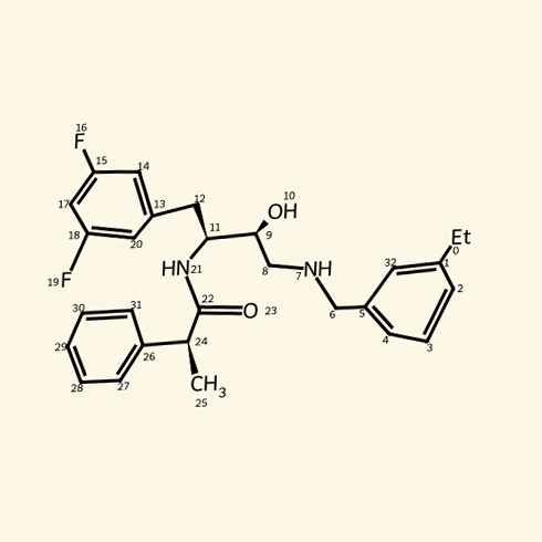 CCc1cccc(CNC[C@H](O)[C@H](Cc2cc(F)cc(F)c2)NC(=O)[C@@H](C)c2ccccc2)c1